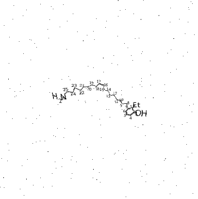 CCc1c(O)cccc1CCCCCCCC/C=C\CCCCCCCCN